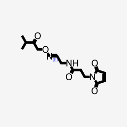 CC(C)C(=O)CO/N=C/CNC(=O)CCN1C(=O)C=CC1=O